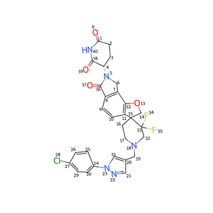 O=C1CC[C@H](N2Cc3c(ccc4c3OCC43CCN(Cc4cnn(-c5ccc(Cl)cc5)c4)CC3(F)F)C2=O)C(=O)N1